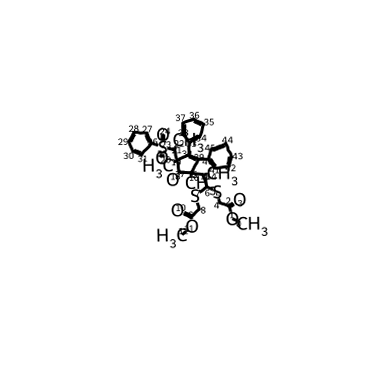 COC(=O)CSC(SCC(=O)OC)C(C)C1(C)C(=O)C(C)(C(C)S(=O)(=O)c2ccccc2)C(c2ccccc2)=C1c1ccccc1